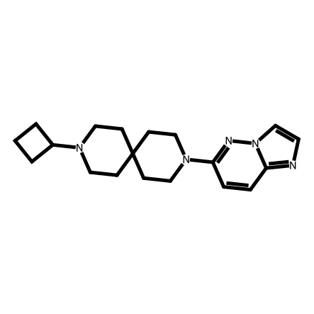 c1cn2nc(N3CCC4(CC3)CCN(C3CCC3)CC4)ccc2n1